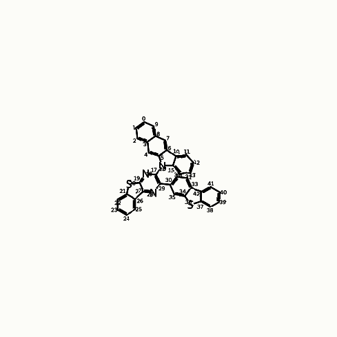 c1ccc2cc3c(cc2c1)c1ccccc1n3-c1nc2sc3ccccc3c2nc1-c1ccc2c(c1)sc1ccccc12